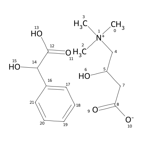 C[N+](C)(C)CC(O)CC(=O)[O-].O=C(O)C(O)c1ccccc1